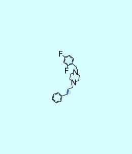 Fc1ccc(CN2CCN(C/C=C/c3ccccc3)CC2)c(F)c1